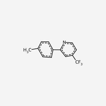 Cc1ccc(-c2cc(C(F)(F)F)ccn2)cc1